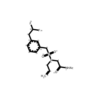 C=CCN(CC(=O)NC(C)=O)S(=O)(=O)Cc1cccc(CC(F)F)c1